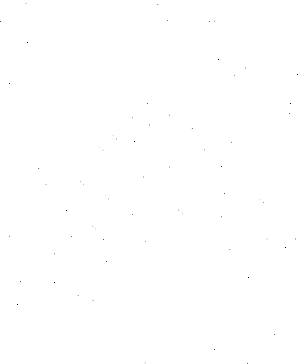 CN(C)CCOc1cncc(-c2ccc3[nH]nc(-c4nc5c(-c6cccs6)ccnc5[nH]4)c3c2)c1